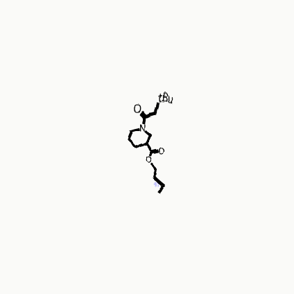 C/C=C/COC(=O)C1CCCN(C(=O)CC(C)(C)C)C1